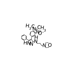 Cc1n(C)c2ccc(-c3c(NCCCN4CCOCC4)n[nH]c3-c3ccccc3)cc2[n+]1[O-]